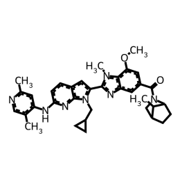 COc1cc(C(=O)N2CC3CCC2C3C)cc2nc(-c3cc4ccc(Nc5cc(C)ncc5C)nc4n3CC3CC3)n(C)c12